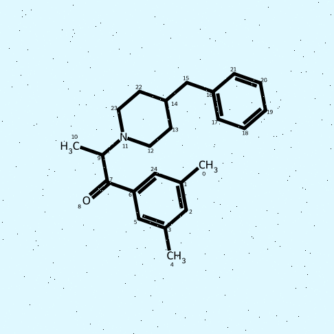 Cc1cc(C)cc(C(=O)C(C)N2CCC(Cc3ccccc3)CC2)c1